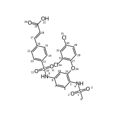 CS(=O)(=O)Nc1ccc(NS(=O)(=O)c2ccc(C=CC(=O)O)cc2)cc1Oc1ccc(Cl)cc1Cl